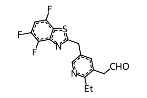 CCc1ncc(Cc2nc3c(F)c(F)cc(F)c3s2)cc1CC=O